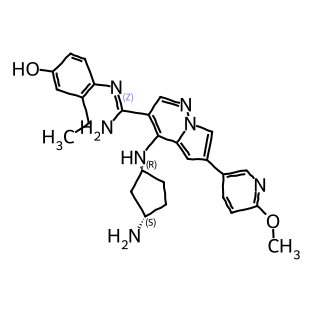 CCc1cc(O)ccc1/N=C(\N)c1cnn2cc(-c3ccc(OC)nc3)cc2c1N[C@@H]1CC[C@H](N)C1